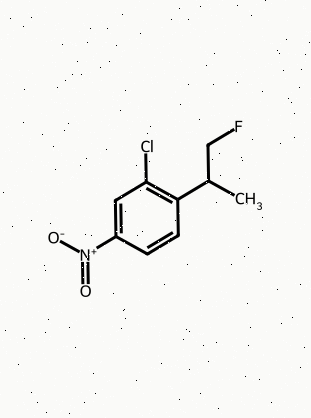 CC(CF)c1ccc([N+](=O)[O-])cc1Cl